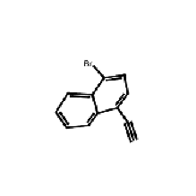 C#Cc1ccc(Br)c2ccccc12